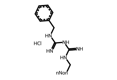 CCCCCCCCCCNC(=N)NC(=N)NCc1ccccc1.Cl